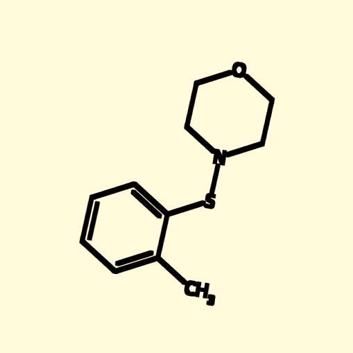 Cc1ccccc1SN1CCOCC1